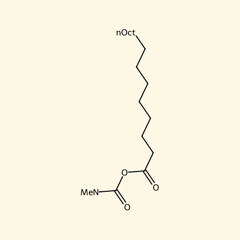 CCCCCCCCCCCCCCCC(=O)OC(=O)NC